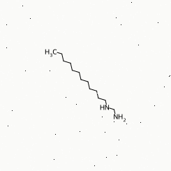 CCCCCCCCCCCCNCN